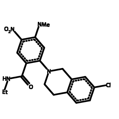 CCNC(=O)c1cc([N+](=O)[O-])c(NC)cc1N1CCc2ccc(Cl)cc2C1